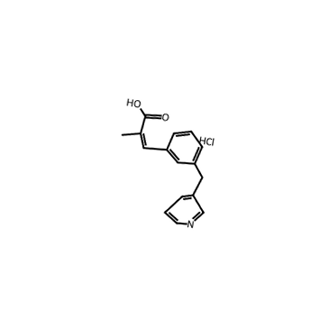 CC(=Cc1cccc(Cc2cccnc2)c1)C(=O)O.Cl